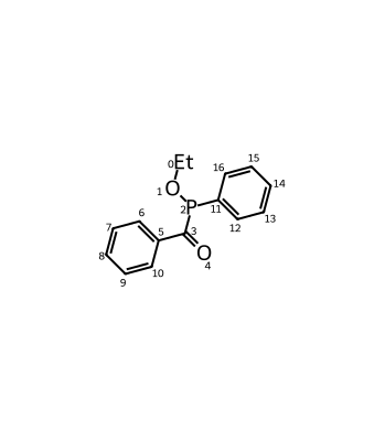 CCOP(C(=O)c1ccccc1)c1ccccc1